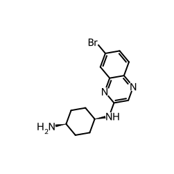 N[C@H]1CC[C@@H](Nc2cnc3ccc(Br)cc3n2)CC1